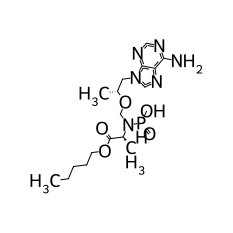 CCCCCOC(=O)[C@H](C)N(CO[C@H](C)Cn1cnc2c(N)ncnc21)[PH](=O)O